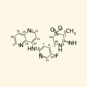 CC1C(=N)N[C@H](c2cc(Nc3ccnc4cccnc34)ncc2F)CS1(=O)=O